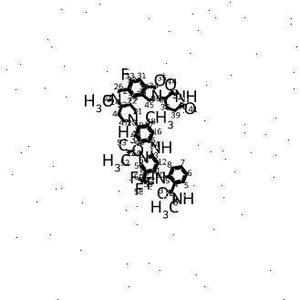 CNC(=O)c1ccccc1Nc1cc(Nc2cc(C)c(N3CCC(N(C)Cc4cc5c(cc4F)C(=O)N(C4CCC(=O)NC4=O)C5)CC3)cc2OC(C)C)ncc1C(F)(F)F